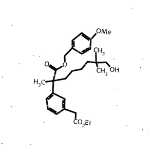 CCOC(=O)Cc1cccc(C(C)(CCCCC(C)(C)CO)C(=O)OCc2ccc(OC)cc2)c1